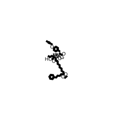 CC#CCOc1ccc(C[C@H](NC(=O)[C@@H](/C=C/CCCCCCC2(CCCCc3ccccc3)OCCO2)[C@@](O)(CCC)C(=O)O)C(=O)OC)cc1